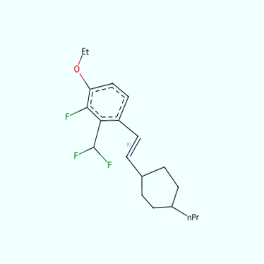 CCCC1CCC(/C=C/c2ccc(OCC)c(F)c2C(F)F)CC1